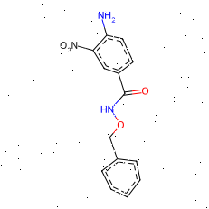 Nc1ccc(C(=O)NOCc2ccccc2)cc1[N+](=O)[O-]